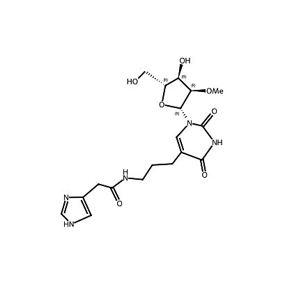 CO[C@@H]1[C@H](O)[C@@H](CO)O[C@H]1n1cc(CCCNC(=O)Cc2c[nH]cn2)c(=O)[nH]c1=O